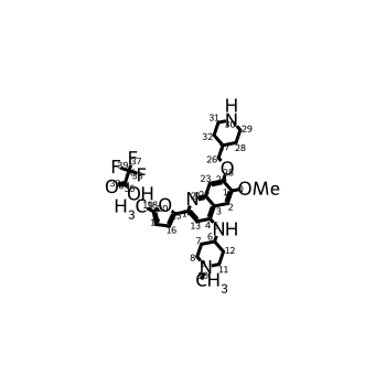 COc1cc2c(NC3CCN(C)CC3)cc(-c3ccc(C)o3)nc2cc1OCC1CCNCC1.O=C(O)C(F)(F)F